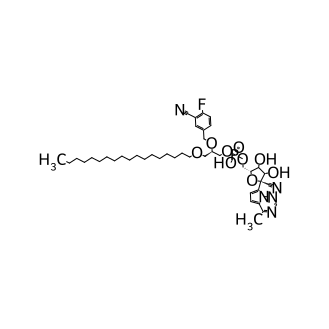 CCCCCCCCCCCCCCCCCCOC[C@H](COP(=O)(O)OC[C@H]1O[C@@](C#N)(c2ccc3c(C)ncnn23)[C@H](O)[C@@H]1O)OCc1ccc(F)c(C#N)c1